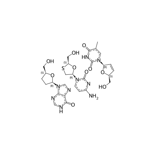 Cc1cn([C@H]2C=C[C@@H](CO)O2)c(=O)[nH]c1=O.Nc1ccn([C@H]2CS[C@@H](CO)O2)c(=O)n1.O=c1[nH]cnc2c1ncn2[C@H]1CC[C@@H](CO)O1